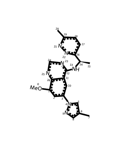 COc1cc(-n2cc(C)cn2)cc2c(N[C@H](C)c3ccc(C)nn3)ncnc12